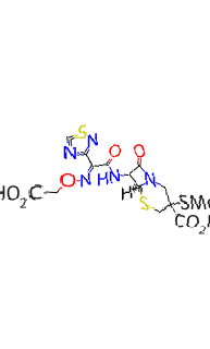 CSC1(C(=O)O)CS[C@@H]2C(NC(=O)C(=NOCC(=O)O)c3ncsn3)C(=O)N2C1